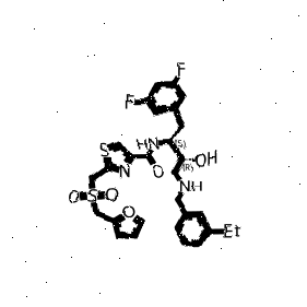 CCc1cccc(CNC[C@@H](O)[C@H](Cc2cc(F)cc(F)c2)NC(=O)c2csc(CS(=O)(=O)Cc3ccco3)n2)c1